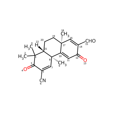 CC1(C)C(=O)C(C#N)=C[C@]2(C)C3=CC(=O)C(C=O)=C[C@]3(C)CC[C@@H]12